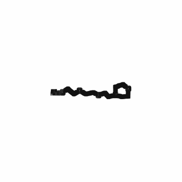 COCCOCCOCCN1CCOCC1